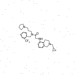 O=C(CNc1cccc2c1CCN(CC1CC1)C2)N(CCCN1CCCC1)Cc1ccccc1C(F)(F)F